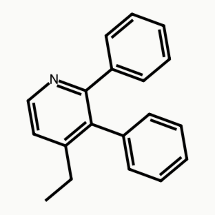 CCc1ccnc(-c2ccccc2)c1-c1ccccc1